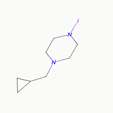 IN1CCN(CC2CC2)CC1